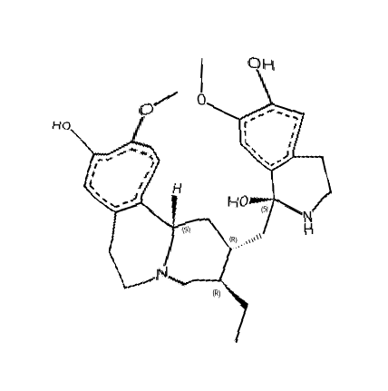 CC[C@H]1CN2CCc3cc(O)c(OC)cc3[C@@H]2C[C@@H]1C[C@@]1(O)NCCc2cc(O)c(OC)cc21